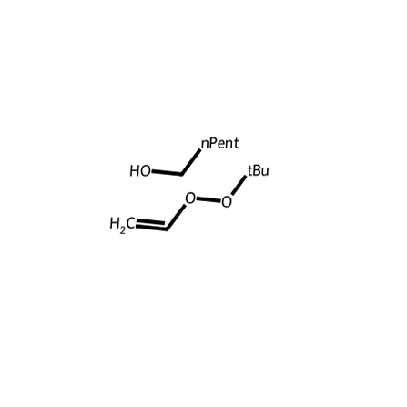 C=COOC(C)(C)C.CCCCCCO